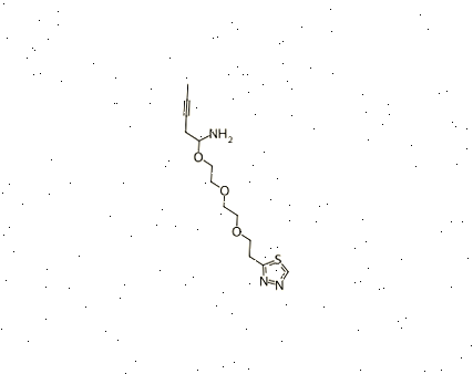 CC#CCC(N)OCCOCCOCCc1nncs1